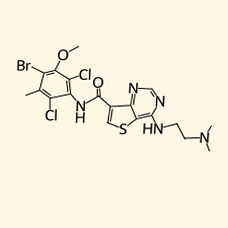 COc1c(Cl)c(NC(=O)c2csc3c(NCCN(C)C)ncnc23)c(Cl)c(C)c1Br